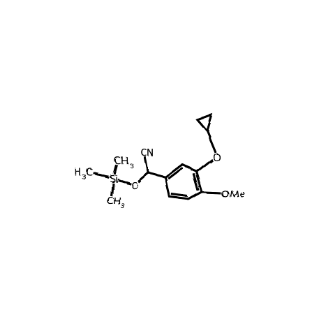 COc1ccc(C(C#N)O[Si](C)(C)C)cc1OC1CC1